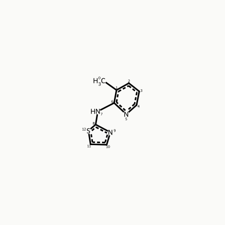 Cc1cccnc1Nc1nccs1